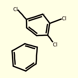 Clc1[c]c(Cl)c(Cl)cc1.c1ccccc1